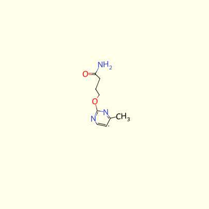 Cc1[c]cnc(OCCCC(N)=O)n1